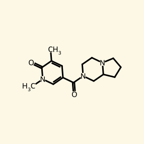 Cc1cc(C(=O)N2CCN3CCCC3C2)cn(C)c1=O